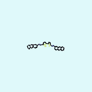 C(=C\c1ccc(-c2ccc(/C=C/c3ccc4cc5ccccc5cc4c3)s2)s1)/c1ccc2cc3ccccc3cc2c1